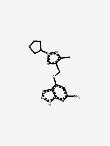 Cc1nn(C2CCCC2)nc1COc1cc(N)nc2[nH]nnc12